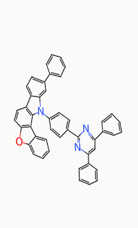 c1ccc(-c2ccc3c4ccc5oc6ccccc6c5c4n(-c4ccc(-c5nc(-c6ccccc6)cc(-c6ccccc6)n5)cc4)c3c2)cc1